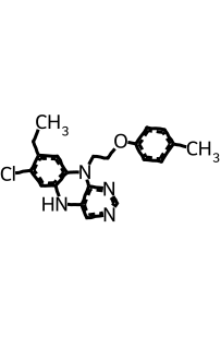 CCc1cc2c(cc1Cl)Nc1cncnc1N2CCOc1ccc(C)cc1